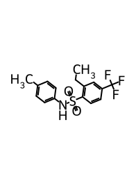 CCc1cc(C(F)(F)F)ccc1S(=O)(=O)Nc1ccc(C)cc1